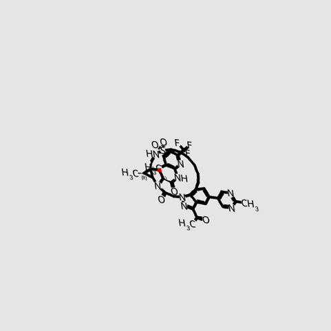 CC(=O)c1nn2c3c(cc(-c4cnc(C)nc4)cc13)CCCCCCS(=O)(=O)NC[C@@]13C[C@@H](C(=O)Nc4nc(C(F)(F)F)ccc4C)N(C(=O)C2)C1[C@@H]3C